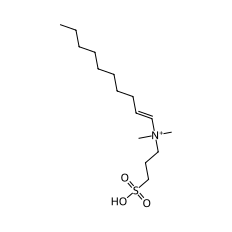 CCCCCCCCC=C[N+](C)(C)CCCS(=O)(=O)O